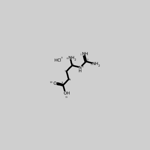 Cl.N=C(N)NC(N)CCC(=O)O